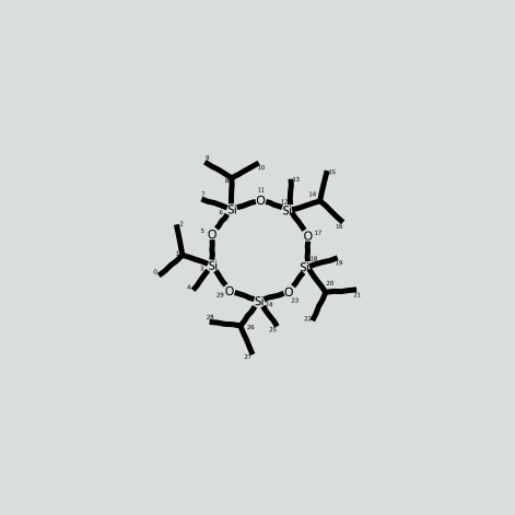 CC(C)[Si]1(C)O[Si](C)(C(C)C)O[Si](C)(C(C)C)O[Si](C)(C(C)C)O[Si](C)(C(C)C)O1